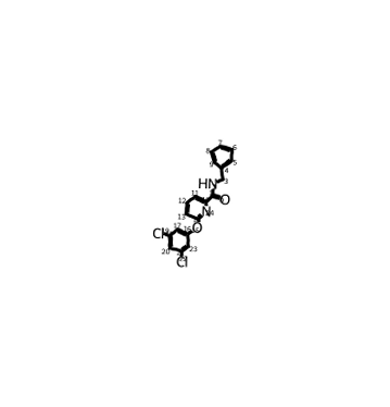 O=C(NCc1ccccc1)c1cccc(Oc2cc(Cl)cc(Cl)c2)n1